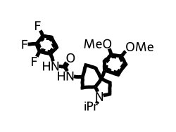 COc1ccc(C23CCC(NC(=O)Nc4ccc(F)c(F)c4F)CC2N(C(C)C)CC3)cc1OC